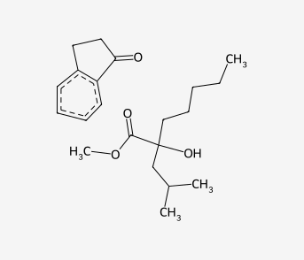 CCCCCC(O)(CC(C)C)C(=O)OC.O=C1CCc2ccccc21